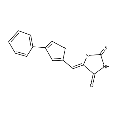 O=C1NC(=S)S/C1=C\c1cc(-c2ccccc2)cs1